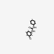 O=C(Nc1ccccc1)Nc1cc[c]c(Cl)c1